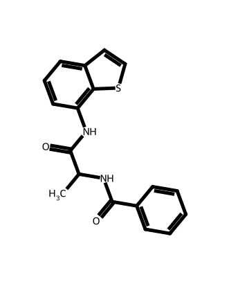 CC(NC(=O)c1ccccc1)C(=O)Nc1cccc2ccsc12